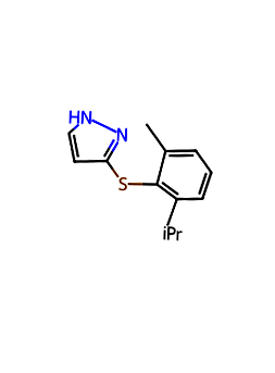 Cc1cccc(C(C)C)c1Sc1cc[nH]n1